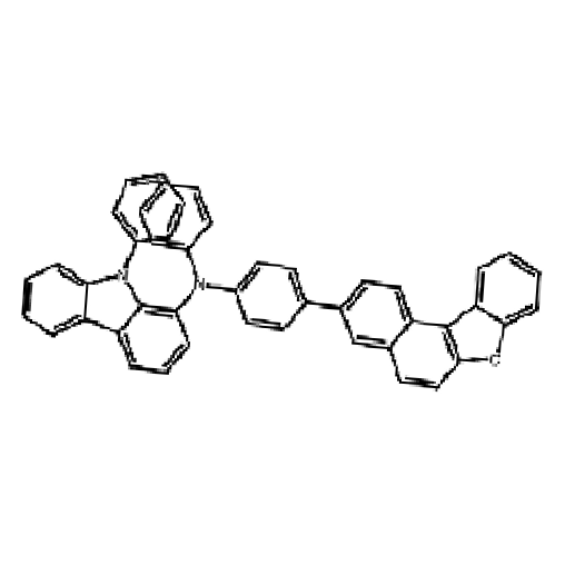 c1ccc(N(c2ccc(-c3ccc4c(ccc5oc6ccccc6c54)c3)cc2)c2cccc3c4ccccc4n(-c4ccccc4)c23)cc1